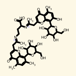 C/C(Cc1cc(=O)c2c(C)cc(C)c(C3OC(CO)C(O)C(O)C3O)c2o1)=N\CCC(/N=C(\C)Cc1cc(=O)c2c(C)cc(O)c(C3OC(CO)C(O)C(O)C3O)c2o1)C(=O)O